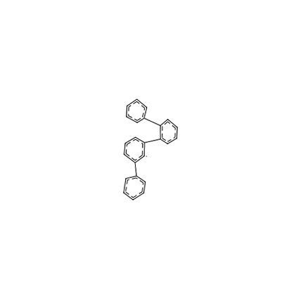 [c]1c(-c2ccccc2)cccc1-c1ccccc1-c1ccccc1